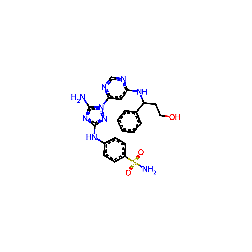 Nc1nc(Nc2ccc(S(N)(=O)=O)cc2)nn1-c1cc(NC(CCO)c2ccccc2)ncn1